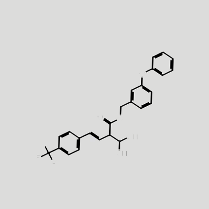 CC(C)C(/C=C/c1ccc(C(F)(F)F)cc1)C(=O)OCc1cccc(Oc2ccccc2)c1